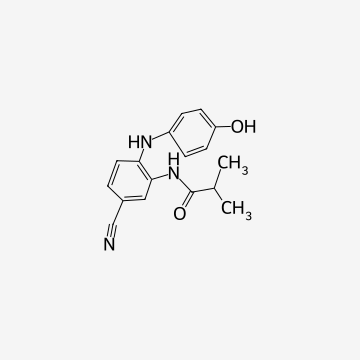 CC(C)C(=O)Nc1cc(C#N)ccc1Nc1ccc(O)cc1